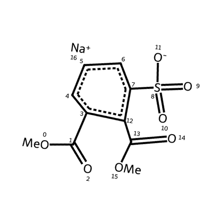 COC(=O)c1cccc(S(=O)(=O)[O-])c1C(=O)OC.[Na+]